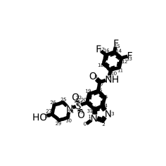 Cn1cnc2cc(C(=O)Nc3cc(F)c(F)c(F)c3)cc(S(=O)(=O)N3CCC(O)CC3)c21